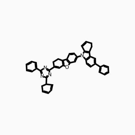 C1=CCC(c2nc(C3=Cc4oc5cc(-n6c7c(c8cc(-c9ccccc9)ccc86)CCC=C7)ccc5c4CC3)nc(-c3ccccc3)n2)C=C1